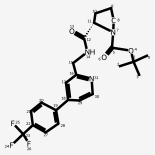 CC(C)(C)OC(=O)N1CCC[C@H]1C(=O)NCc1cc(-c2ccc(C(F)(F)F)cc2)ccn1